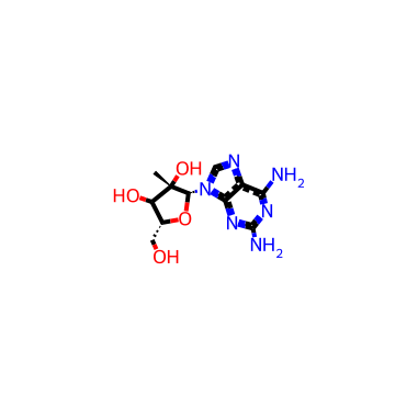 C[C@]1(O)C(O)[C@@H](CO)O[C@H]1n1cnc2c(N)nc(N)nc21